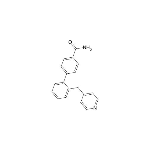 NC(=O)c1ccc(-c2ccccc2Cc2ccncc2)cc1